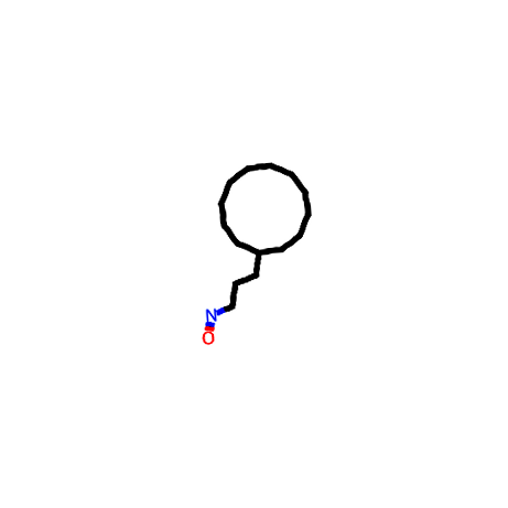 O=NCCCC1CCCCCCCCCCC1